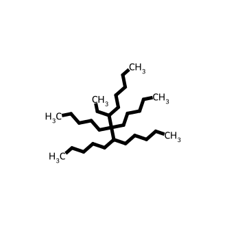 CCCCC[C](CCCCC)C(CCCCC)(CCCCC)C(CC)CCCCC